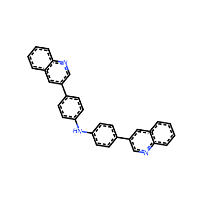 c1ccc2ncc(-c3ccc(Nc4ccc(-c5cnc6ccccc6c5)cc4)cc3)cc2c1